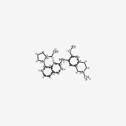 CCOc1nc2c(cc1Nc1ncc3ccnc(N4CCC[C@H]4CO)c3n1)CN(C)CC2